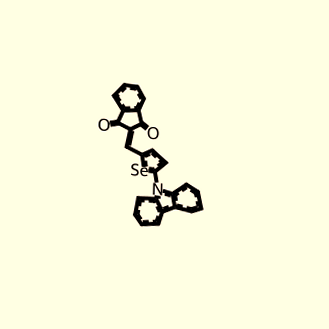 O=C1C(=Cc2ccc(-n3c4ccccc4c4ccccc43)[se]2)C(=O)c2ccccc21